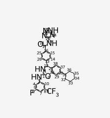 O=C(Nc1cc(F)cc(C(F)(F)F)c1)NC(c1ccc(C(=O)Nc2nn[nH]n2)cc1)c1ccc(C2CCCCC2)cc1